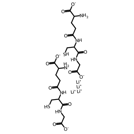 NC(CCC(=O)NC(CS)C(=O)NCC(=O)[O-])C(=O)[O-].NC(CCC(=O)NC(CS)C(=O)NCC(=O)[O-])C(=O)[O-].[Li+].[Li+].[Li+].[Li+]